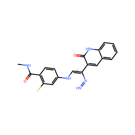 CNC(=O)c1ccc(N/C=C(\N=N)c2cc3ccccc3[nH]c2=O)cc1F